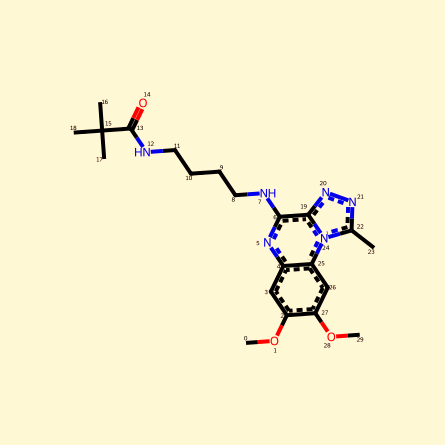 COc1cc2nc(NCCCCNC(=O)C(C)(C)C)c3nnc(C)n3c2cc1OC